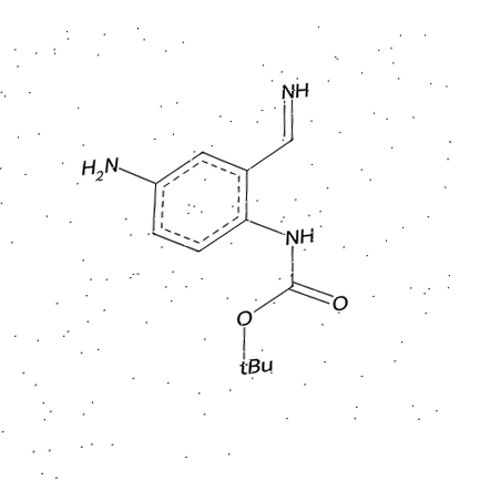 CC(C)(C)OC(=O)Nc1ccc(N)cc1C=N